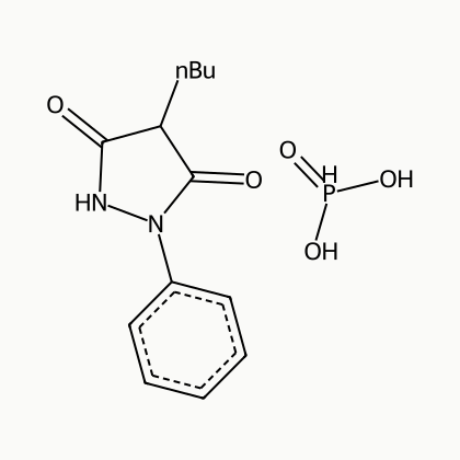 CCCCC1C(=O)NN(c2ccccc2)C1=O.O=[PH](O)O